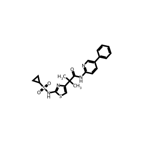 CC(C)(C(=O)Nc1ccc(-c2ccccc2)cn1)c1csc(NS(=O)(=O)C2CC2)n1